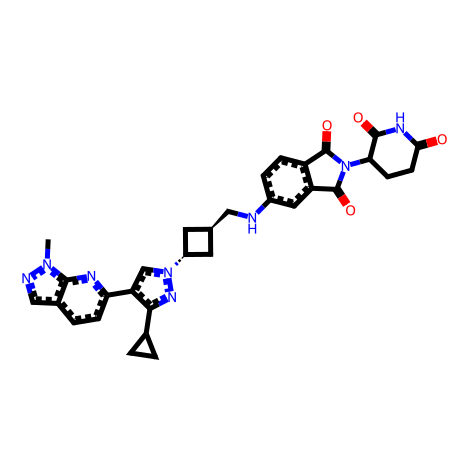 Cn1ncc2ccc(-c3cn([C@H]4C[C@H](CNc5ccc6c(c5)C(=O)N(C5CCC(=O)NC5=O)C6=O)C4)nc3C3CC3)nc21